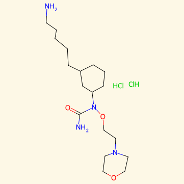 Cl.Cl.NCCCCCC1CCCC(N(OCCN2CCOCC2)C(N)=O)C1